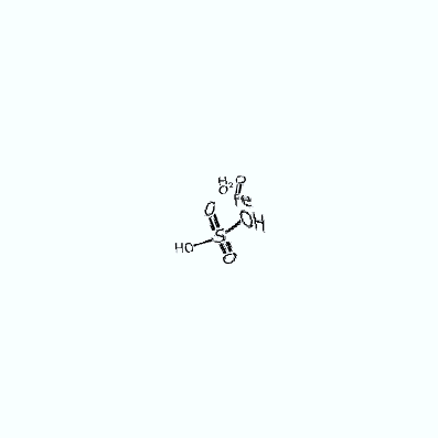 O.O=S(=O)(O)O.[O]=[Fe]